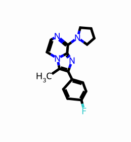 Cc1c(-c2ccc(F)cc2)nc2c(N3CCCC3)nccn12